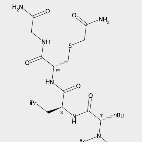 CCCC[C@@H](C(=O)N[C@@H](CC(C)C)C(=O)N[C@@H](CSCC(N)=O)C(=O)NCC(N)=O)N(C)C(C)=O